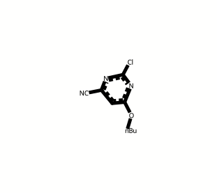 CCCCOc1cc(C#N)nc(Cl)n1